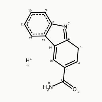 NC(=O)C1=CCC2=Nc3ccccc3C2=C1.[H+]